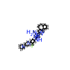 Nc1nc(Nc2ccc(N3CCC(N4CCCCC4)CC3)c(F)c2)nn1-c1cc2c(nn1)-c1ccccc1CCC2